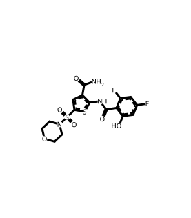 NC(=O)c1cc(S(=O)(=O)N2CCOCC2)sc1NC(=O)c1c(O)cc(F)cc1F